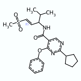 CC(C)C(/C=C/S(C)(=O)=O)NC(=O)c1cnc(C2CCCC2)nc1Oc1ccccc1